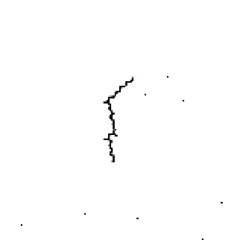 [CH2]CCCCCCCCC(C)CCC=CCCCC(C)CC(C)CCCCC[CH2]